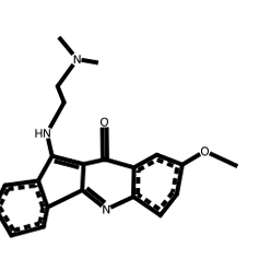 COc1ccc2c(c1)C(=O)C1=C(NCCN(C)C)c3ccccc3C1=N2